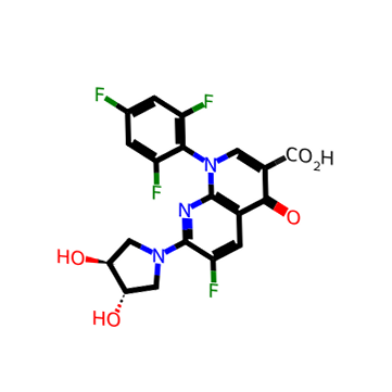 O=C(O)c1cn(-c2c(F)cc(F)cc2F)c2nc(N3C[C@H](O)[C@@H](O)C3)c(F)cc2c1=O